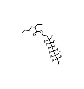 CCCCC(CC)C(=O)OCCC(F)(F)C(F)(F)C(F)(F)C(F)(F)C(F)(F)C(F)(F)F